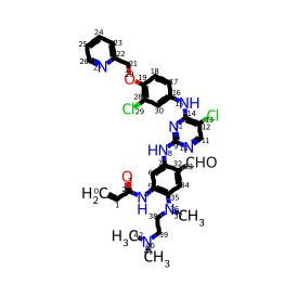 C=CC(=O)Nc1cc(Nc2ncc(Cl)c(Nc3ccc(OCc4ccccn4)c(Cl)c3)n2)c(C=O)cc1N(C)CCN(C)C